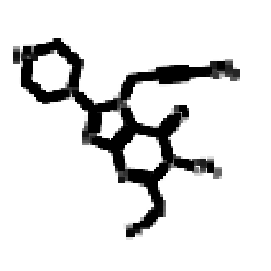 CC#CCn1c(N2CCNCC2)nc2nc(SC(C)C)n(C)c(=O)c21